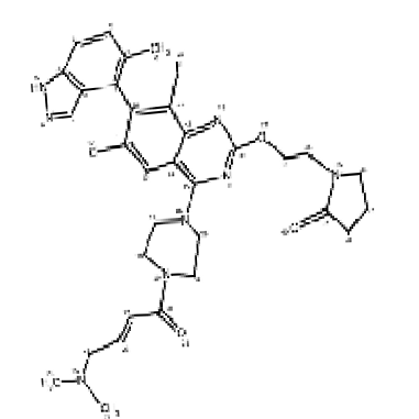 Cc1ccc2[nH]ncc2c1-c1c(Cl)cc2c(N3CCN(C(=O)/C=C/CN(C)C)CC3)nc(OCCN3CCCC3=O)nc2c1F